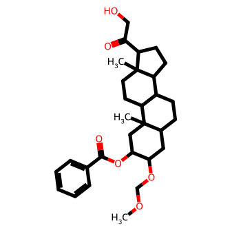 COCOC1CC2CCC3C(CCC4(C)C(C(=O)CO)CCC34)C2(C)CC1OC(=O)c1ccccc1